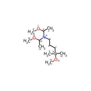 COC(C)N(CCC[Si](C)(C)OC)C(C)OC